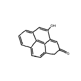 O=C1C=c2c(O)cc3cccc4ccc(c2c43)C1